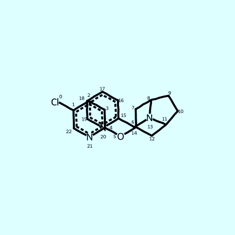 Clc1ccc(OC2CC3CCC(C2)N3Cc2ccccn2)nc1